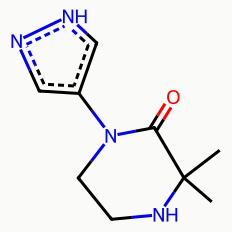 CC1(C)NCCN(c2cn[nH]c2)C1=O